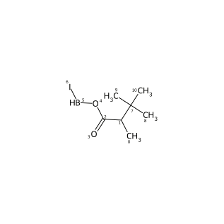 CC(C(=O)OBI)C(C)(C)C